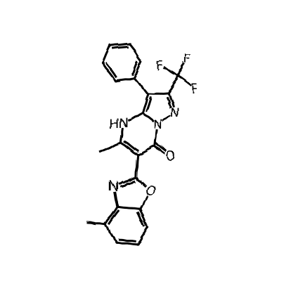 Cc1[nH]c2c(-c3ccccc3)c(C(F)(F)F)nn2c(=O)c1-c1nc2c(C)cccc2o1